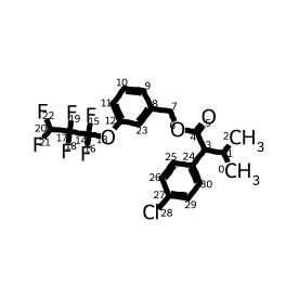 CC(C)C(C(=O)OCc1cccc(OC(F)(F)C(F)(F)C(F)F)c1)c1ccc(Cl)cc1